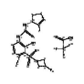 CC1=CCC[C@H]1NC(=O)Nc1ccc(Cl)c(S(=O)(=O)N2CC(F)C2)c1O.O=C(O)C(F)(F)F